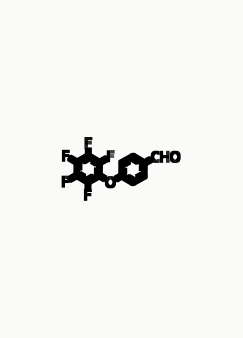 O=Cc1ccc(Oc2c(F)c(F)c(F)c(F)c2F)cc1